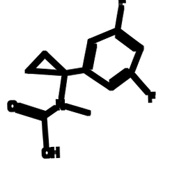 CN(C(=O)O)C1(c2cc(F)cc(F)c2)CC1